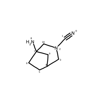 N#CN1CC2CCC(N)(C2)C1